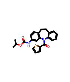 CC(C)OC(=O)Nc1ccc2c(c1)N(C(=O)c1cccs1)c1ccccc1CC2